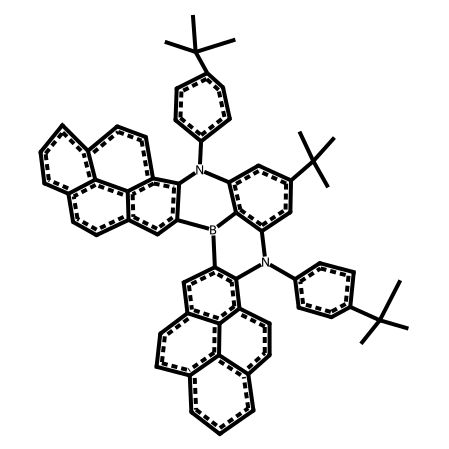 CC(C)(C)c1ccc(N2c3cc(C(C)(C)C)cc4c3B(c3cc5ccc6cccc7ccc(c32)c5c67)c2cc3ccc5cccc6ccc(c2N4c2ccc(C(C)(C)C)cc2)c3c56)cc1